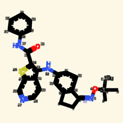 CC(C)(C)[Si](C)(C)O/N=C1/CCc2cc(Nc3c(C(=O)Nc4ccccc4)sc4cnccc34)ccc21